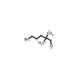 CC(C)(CCl)CCCBr